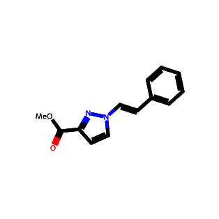 COC(=O)c1ccn(C=Cc2ccccc2)n1